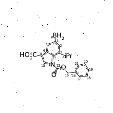 Bc1cc(C(C)C)c2c(c1)c(C(=O)O)cn2C(=O)OCc1ccccc1